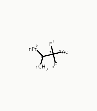 CCCC(C)C(F)(F)C(C)=O